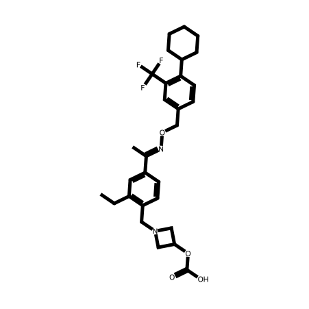 CCc1cc(/C(C)=N/OCc2ccc(C3CCCCC3)c(C(F)(F)F)c2)ccc1CN1CC(OC(=O)O)C1